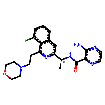 C[C@H](NC(=O)c1nccnc1N)c1cc2cccc(Cl)c2c(CCN2CCOCC2)n1